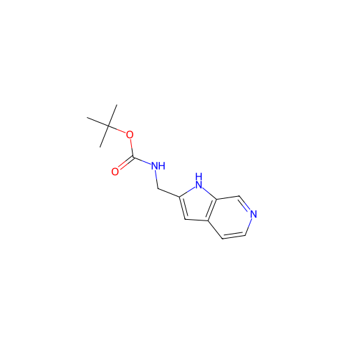 CC(C)(C)OC(=O)NCc1cc2ccncc2[nH]1